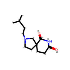 CC(C)CCN1CCC2(CCC(=O)NC2=O)C1